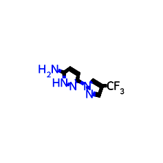 NC1C=CC(n2cc(C(F)(F)F)cn2)=NN1